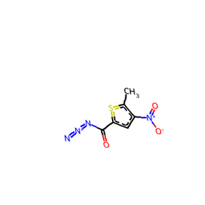 Cc1sc(C(=O)N=[N+]=[N-])cc1[N+](=O)[O-]